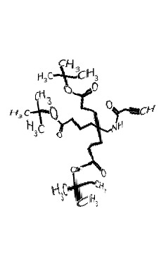 C#CC(=O)NC(CCC(=O)OC(C)(C)C)(CCC(=O)OC(C)(C)C)CCC(=O)OC(C)(C)C